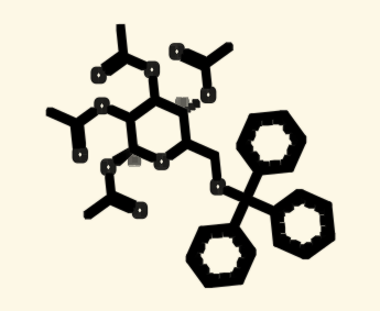 CC(=O)OC1C(OC(C)=O)[C@H](OC(C)=O)C(COC(c2ccccc2)(c2ccccc2)c2ccccc2)O[C@H]1OC(C)=O